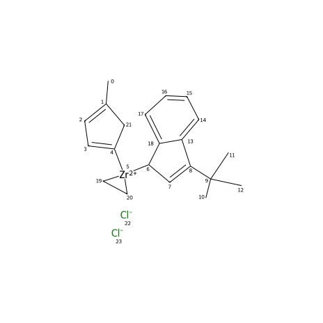 CC1=CC=[C]([Zr+2]2([CH]3C=C(C(C)(C)C)c4ccccc43)[CH2][CH2]2)C1.[Cl-].[Cl-]